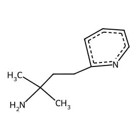 CC(C)(N)CCc1ccccn1